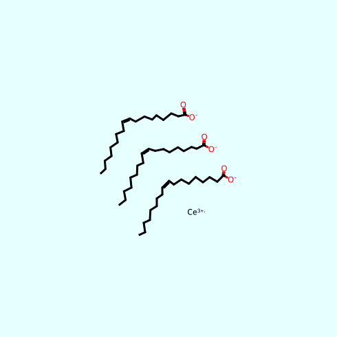 CCCCCCCC/C=C\CCCCCCCC(=O)[O-].CCCCCCCC/C=C\CCCCCCCC(=O)[O-].CCCCCCCC/C=C\CCCCCCCC(=O)[O-].[Ce+3]